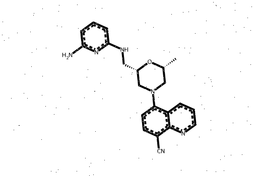 C[C@@H]1CN(c2ccc(C#N)c3ncccc23)C[C@H](CNc2cccc(N)n2)O1